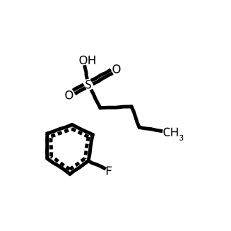 CCCCS(=O)(=O)O.Fc1ccccc1